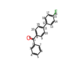 O=C(c1ccccc1)c1ccc(-c2ccc(F)cc2)cc1